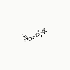 CCOC(=O)N1CCC2(CC(N3C[C@@H]4C(c5csc(C)n5)[C@@H]4C3)C2)C1